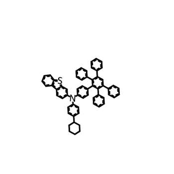 c1ccc(-c2cc(-c3ccccc3)c(-c3ccccc3)c(-c3ccc(N(c4ccc(C5CCCCC5)cc4)c4ccc5c(c4)sc4ccccc45)cc3)c2-c2ccccc2)cc1